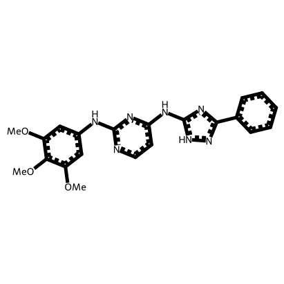 COc1cc(Nc2nccc(Nc3nc(-c4ccccc4)n[nH]3)n2)cc(OC)c1OC